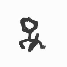 C=CC(c1ccncc1)S(=O)(=O)O